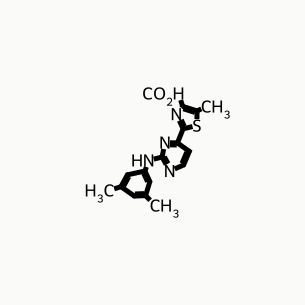 Cc1cc(C)cc(Nc2nccc(-c3nc(C(=O)O)c(C)s3)n2)c1